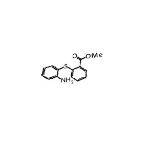 COC(=O)c1ccccc1Sc1ccccc1N